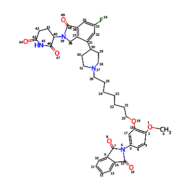 COc1ccc(N2C(=O)c3ccccc3C2=O)cc1OCCCCCCCN1CCC(c2cc(F)cc3c2CN(C2CCC(=O)NC2=O)C3=O)CC1